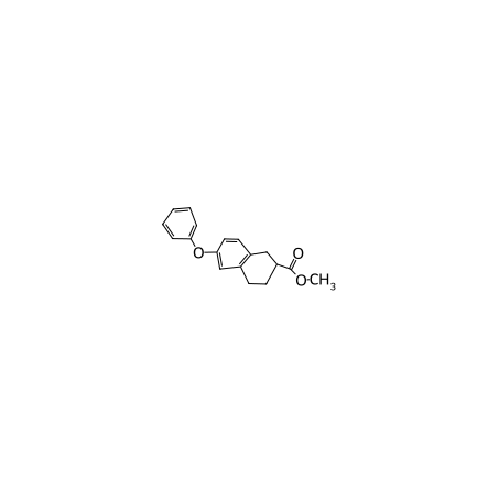 COC(=O)C1CCc2cc(Oc3ccccc3)ccc2C1